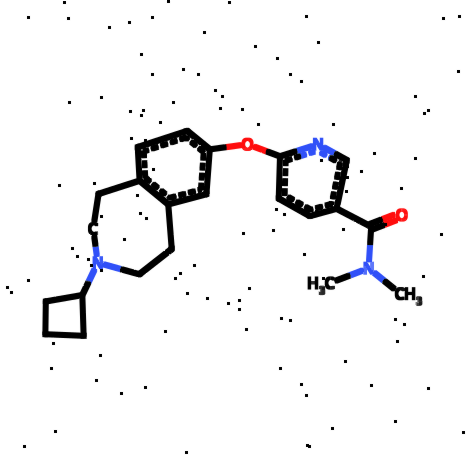 CN(C)C(=O)c1ccc(Oc2ccc3c(c2)CCN(C2CCC2)CC3)nc1